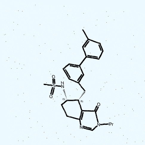 Cc1cccc(-c2cccc(C[C@@H]3c4c(ncn(C(C)C)c4=O)CC[C@@H]3NS(C)(=O)=O)c2)c1